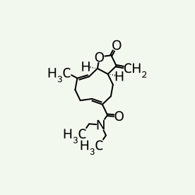 C=C1C(=O)O[C@@H]2/C=C(\C)CC/C=C(\C(=O)N(CC)CC)CC[C@H]12